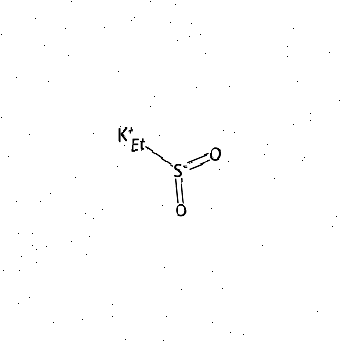 CC[S-](=O)=O.[K+]